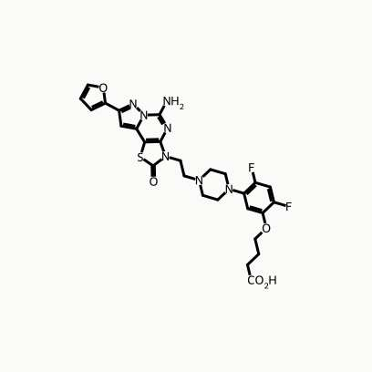 Nc1nc2c(sc(=O)n2CCN2CCN(c3cc(OCCCC(=O)O)c(F)cc3F)CC2)c2cc(-c3ccco3)nn12